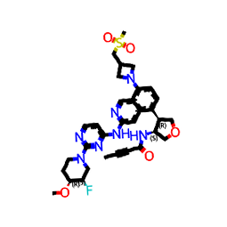 CC#CC(=O)N[C@@H]1COC[C@@H]1c1ccc(N2CC(CS(C)(=O)=O)C2)c2cnc(Nc3ccnc(N4CC[C@@H](OC)[C@@H](F)C4)n3)cc12